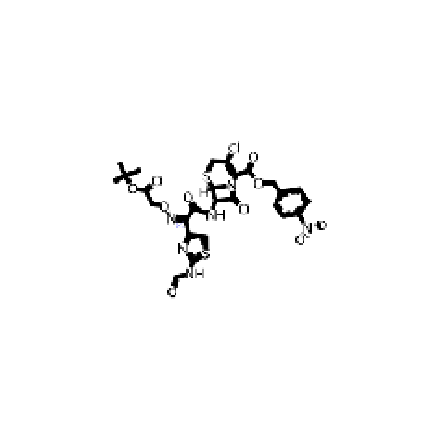 CC(C)(C)OC(=O)CO/N=C(\C(=O)NC1C(=O)N2C(C(=O)OCc3ccc([N+](=O)[O-])cc3)=C(Cl)CS[C@H]12)c1csc(NC=O)n1